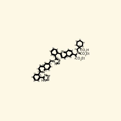 CCOC(=O)C(c1ccc2nc(-c3ccccc3-c3nnnn3Cc3ccc4nc(-c5ccccc5-c5nnn[nH]5)ccc4c3)ccc2c1)N(CC1(C(=O)O)CCCCC1)C(=O)OCC